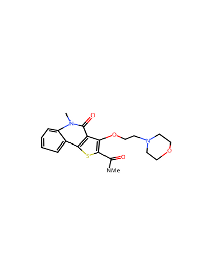 CNC(=O)c1sc2c(c1OCCN1CCOCC1)c(=O)n(C)c1ccccc21